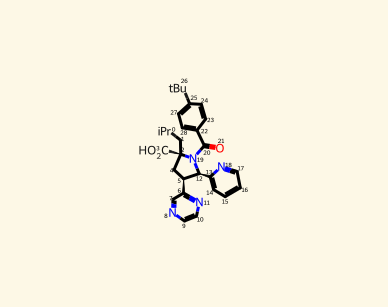 CC(C)C[C@@]1(C(=O)O)C[C@H](c2cnccn2)[C@H](c2ccccn2)N1C(=O)c1ccc(C(C)(C)C)cc1